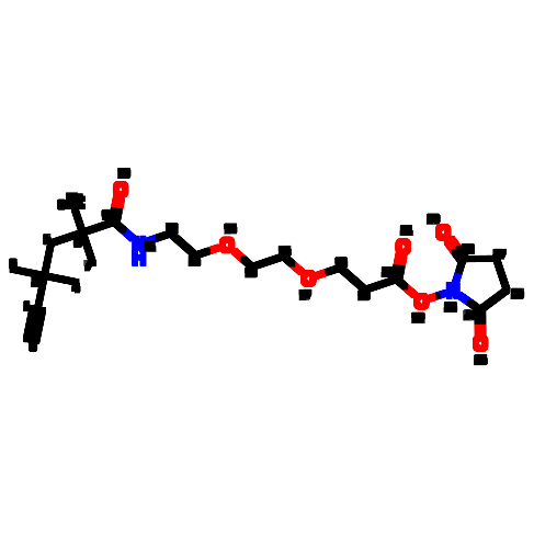 C#CC(C)(C)CC(C)(CC)C(=O)NCCOCCOCCC(=O)ON1C(=O)CCC1=O